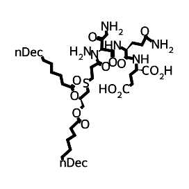 CCCCCCCCCCCCCCCC(=O)OC[C@H](CSCCC(=O)N(N)[C@H](C(=O)CN)C(=O)N[C@@H](CCC(N)=O)C(=O)N[C@@H](CCC(=O)O)C(=O)O)OC(=O)CCCCCCCCCCCCCCC